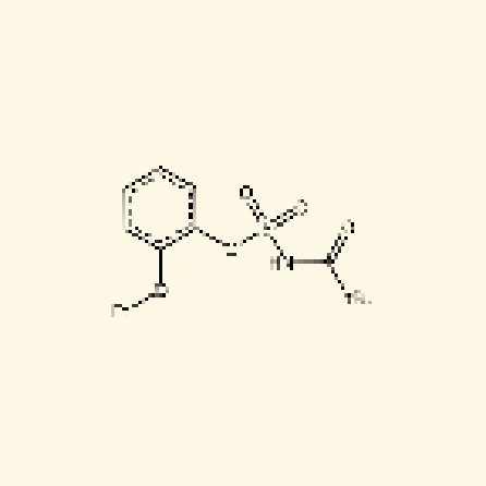 CCOc1ccccc1OS(=O)(=O)NC(=O)C(C)(C)C